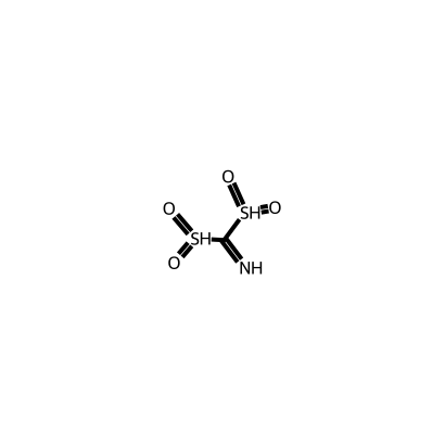 N=C([SH](=O)=O)[SH](=O)=O